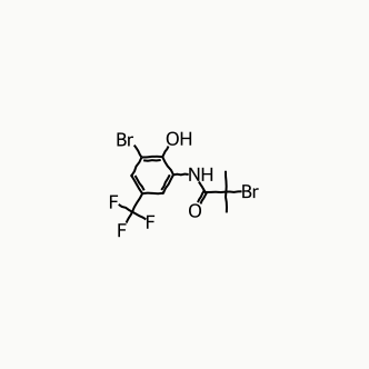 CC(C)(Br)C(=O)Nc1cc(C(F)(F)F)cc(Br)c1O